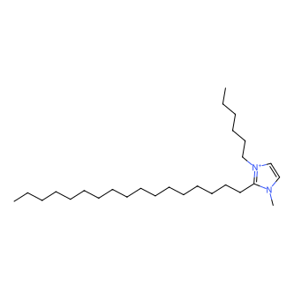 CCCCCCCCCCCCCCCCCc1n(C)cc[n+]1CCCCCC